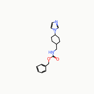 O=C(NCC1CCC(n2ccnc2)CC1)OCc1ccccc1